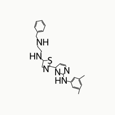 Cc1cc(C)cc(Nc2nccc(C3=NCC(NCCNCc4ccccc4)S3)n2)c1